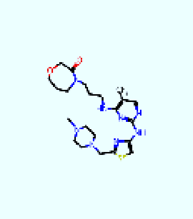 CN1CCN(Cc2nc(Nc3ncc(C(F)(F)F)c(NCCCN4CCCOCC4=O)n3)cs2)CC1